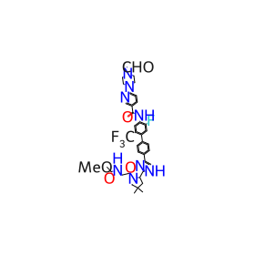 COC(=O)NCC(=O)N1CC(C)(C)CC1c1nc(-c2ccc(-c3cc(F)c(NC(=O)c4ccc(N5CCN(C=O)CC5)nc4)cc3C(F)(F)F)cc2)c[nH]1